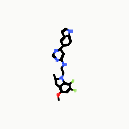 COc1cc(F)c(F)c2c1cc(C)n2CCNc1cc(-c2ccc3[nH]ccc3c2)ncn1